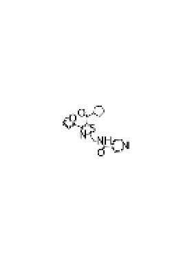 O=C(NCc1nc(-c2ccco2)c(C(=O)C2CCCC2)s1)c1ccncc1